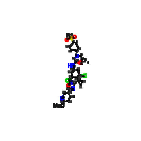 CCS(=O)(=O)c1ccc(N(CC(=O)Nc2cc(Cl)c(C3(c4noc(-c5ccc(OC)nc5)n4)CC3)c(Cl)c2)CC(F)(F)F)cc1